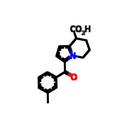 Cc1cccc(C(=O)c2ccc3n2CCCC3C(=O)O)c1